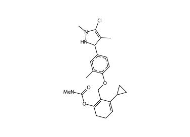 CNC(=O)OC1=C(COc2ccc(C3NN(C)C(Cl)=C3C)cc2C)C(C2CC2)=CCC1